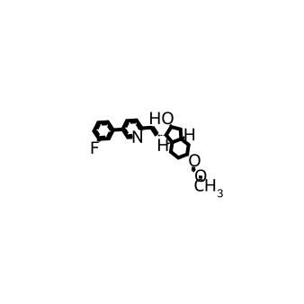 COCO[C@@H]1CC[C@@H]2[C@@H](C1)C[C@H](O)[C@H]2/C=C/c1ccc(-c2cccc(F)c2)cn1